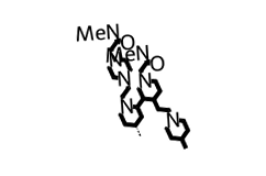 CNC(=O)CN1CCN(CCN2CC[C@@H](C)CC2C2CN(CC(=O)NC)CCC2CCN2CCC(C)CC2)CC1